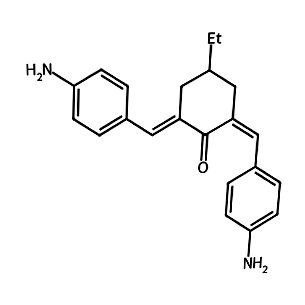 CCC1C/C(=C/c2ccc(N)cc2)C(=O)/C(=C/c2ccc(N)cc2)C1